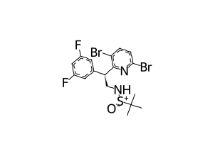 CC(C)(C)[S+]([O-])NC[C@@H](c1cc(F)cc(F)c1)c1nc(Br)ccc1Br